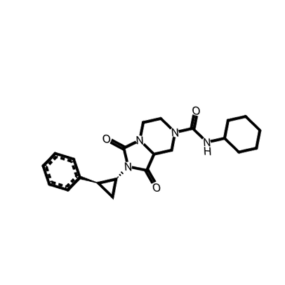 O=C(NC1CCCCC1)N1CCN2C(=O)N([C@@H]3C[C@H]3c3ccccc3)C(=O)C2C1